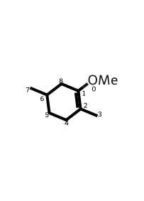 COC1=C(C)CCC(C)C1